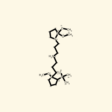 CO[Si]1(CCC[SiH2]CCCN2CCC[Si]2(OC)OC)CCCC1[Si](C)(C)C